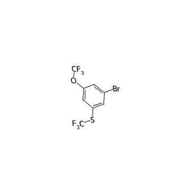 FC(F)(F)Oc1cc(Br)cc(SC(F)(F)F)c1